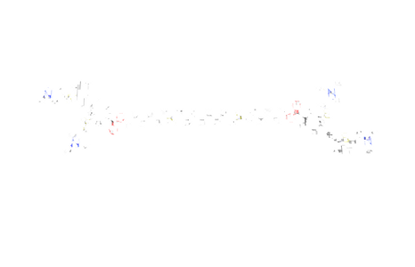 CC(C)C(CCC1CCC(C(=O)OCCCCCCSCCCCCCCCSCCCCCCOC(=O)C2CCC(CCC(SCCN(C)C)C(C)C)C(SCCN(C)C)C2)CC1SCCN(C)C)SCCN(C)C